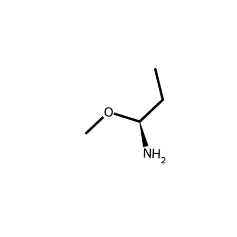 CC[C@@H](N)OC